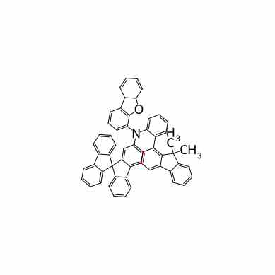 CC1(C)c2ccccc2-c2cccc(-c3ccccc3N(c3ccc4c(c3)C3(c5ccccc5-c5ccccc53)c3ccccc3-4)c3cccc4c3OC3C=CC=CC43)c21